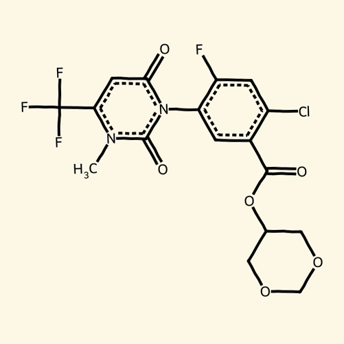 Cn1c(C(F)(F)F)cc(=O)n(-c2cc(C(=O)OC3COCOC3)c(Cl)cc2F)c1=O